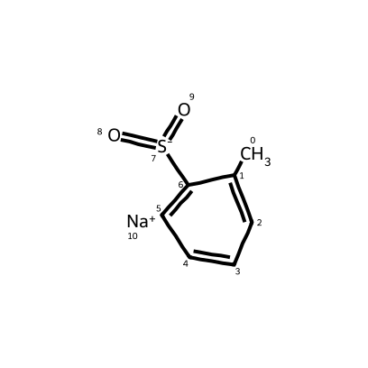 Cc1ccccc1[S-](=O)=O.[Na+]